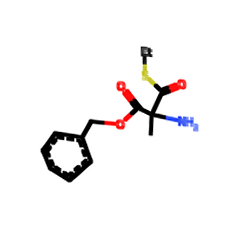 CCSC(=O)C(C)(N)C(=O)OCc1ccccc1